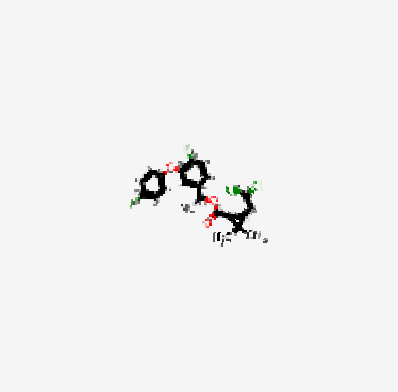 CC1(C)C(C=C(Cl)Cl)C1C(=O)OC(C#N)c1ccc(F)c(Oc2ccc(F)cc2)c1